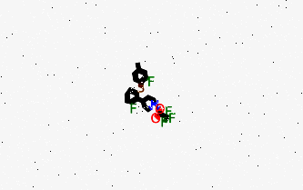 Cc1ccc(Sc2cccc(F)c2C2CCN(OC(=O)C(F)(F)F)CC2)c(F)c1